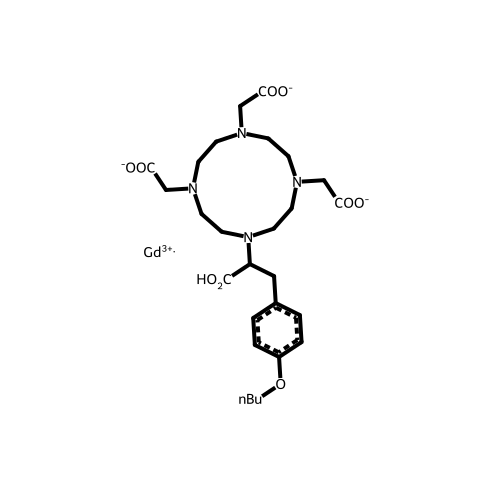 CCCCOc1ccc(CC(C(=O)O)N2CCN(CC(=O)[O-])CCN(CC(=O)[O-])CCN(CC(=O)[O-])CC2)cc1.[Gd+3]